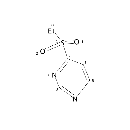 CCS(=O)(=O)c1ccncn1